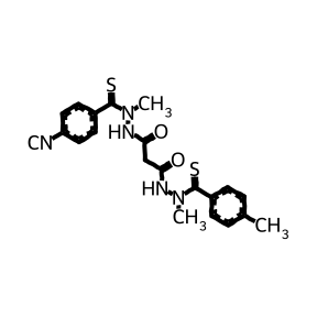 [C-]#[N+]c1ccc(C(=S)N(C)NC(=O)CC(=O)NN(C)C(=S)c2ccc(C)cc2)cc1